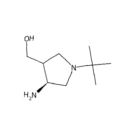 CC(C)(C)N1CC(CO)[C@H](N)C1